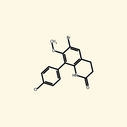 COc1c(Br)cc2c(c1-c1ccc(Cl)cc1)NC(=O)CC2